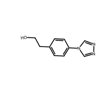 OCCc1ccc(-n2cnnc2)cc1